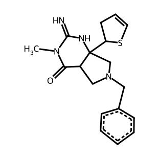 CN1C(=N)NC2(C3CC=CS3)CN(Cc3ccccc3)CC2C1=O